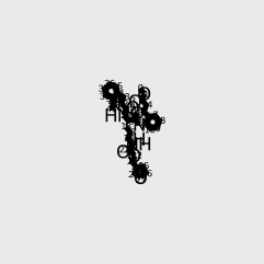 COC(=O)CCc1ccccc1NC(=O)[C@H](CCCNC(=O)OCc1ccoc1)NC(=O)c1cc2ccccc2n1C